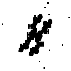 CCC(Cc1ccccc1)(C(=O)c1ccc(NCCOC(=O)c2cc(C(=O)OCCNc3ccc(C(=O)C(CC)(Cc4ccccc4)N(C)C)cc3)c(C(=O)OCCNc3ccc(C(=O)C(CC)(Cc4ccccc4)N(C)C)cc3)cc2C(=O)OCCNc2ccc(C(=O)C(CC)(Cc3ccccc3)N(C)C)cc2)cc1)N(C)C